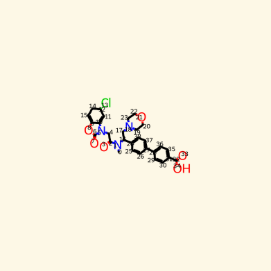 CN(C(=O)Cn1c(=O)oc2c1=CC(Cl)CC=2)C(CN1CCOCC1)c1ccc(-c2ccc(C(=O)O)cc2)cc1